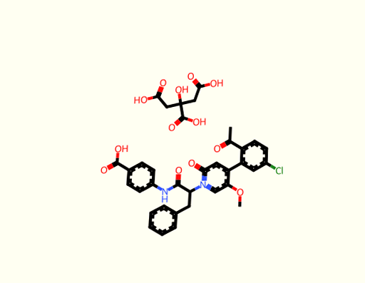 COc1cn(C(Cc2ccccc2)C(=O)Nc2ccc(C(=O)O)cc2)c(=O)cc1-c1cc(Cl)ccc1C(C)=O.O=C(O)CC(O)(CC(=O)O)C(=O)O